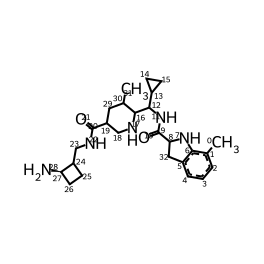 Cc1cccc2c1NC(C(=O)NC(C1CC1)C1NCC(C(=O)NCC3CC[C@H]3N)CC1C)C2